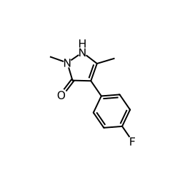 Cc1[nH]n(C)c(=O)c1-c1ccc(F)cc1